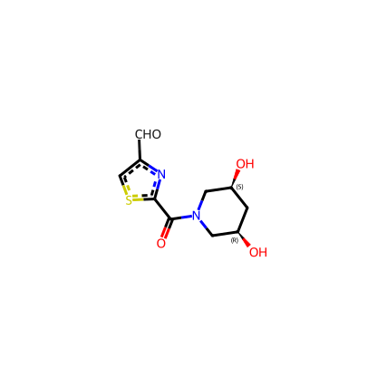 O=Cc1csc(C(=O)N2C[C@H](O)C[C@H](O)C2)n1